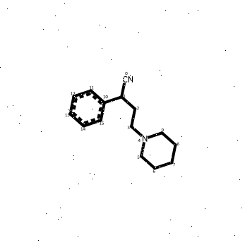 N#CC(CCN1CCCCC1)c1ccccc1